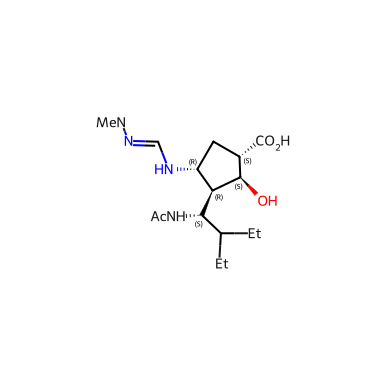 CCC(CC)[C@H](NC(C)=O)[C@@H]1[C@H](O)[C@@H](C(=O)O)C[C@H]1NC=NNC